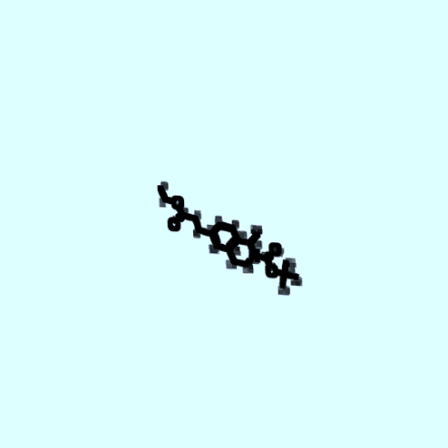 CCOC(=O)CCc1ccc2c(c1)CCN(C(=O)OC(C)(C)C)C2C